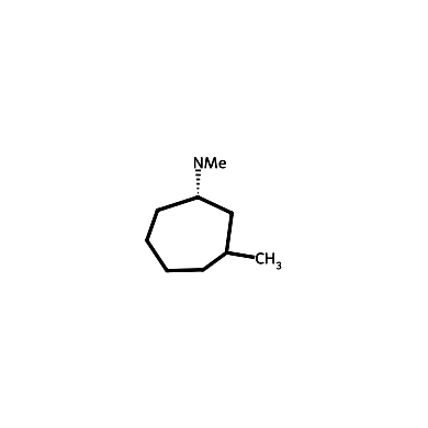 CN[C@H]1CCCCC(C)C1